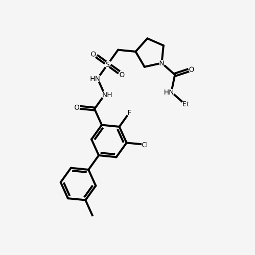 CCNC(=O)N1CCC(CS(=O)(=O)NNC(=O)c2cc(-c3cccc(C)c3)cc(Cl)c2F)C1